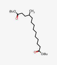 CC(C)COC(=O)CCCCCCCCCC(C)CCC(=O)OCC(C)C